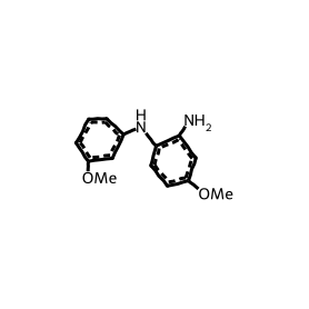 COc1cccc(Nc2ccc(OC)cc2N)c1